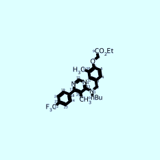 CCCCN(Cc1ccc(OCC(=O)OCC)c(C)c1)c1ncnc(-c2ccc(C(F)(F)F)cc2)c1C